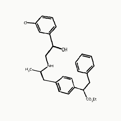 CCOC(=O)C(Cc1ccccc1)c1ccc(CC(C)NCC(O)c2cccc(Cl)c2)cc1